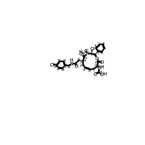 C[C@H]1[C@@H](c2ccccc2)OC(=O)[C@@H](NC(=O)O)CC=CC[C@@H](CC(=O)NCc2ccc(Cl)cc2)C(=O)N1C